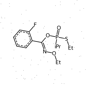 CCON=C(OP(=O)(SCC)C(C)C)c1ccccc1F